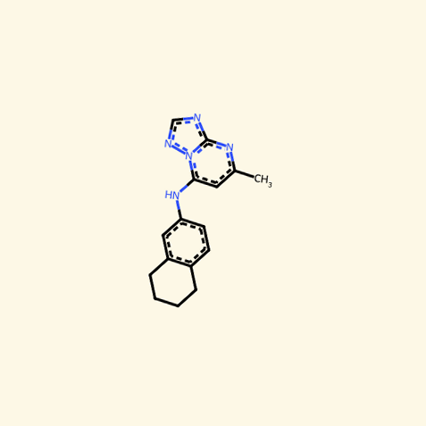 Cc1cc(Nc2ccc3c(c2)CCCC3)n2ncnc2n1